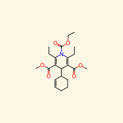 CCOC(=O)N1C(CC)=C(C(=O)OC)C(C2C=CCCC2)C(C(=O)OC)=C1CC